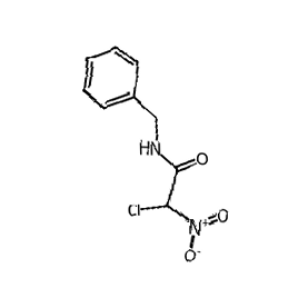 O=C(NCc1ccccc1)C(Cl)[N+](=O)[O-]